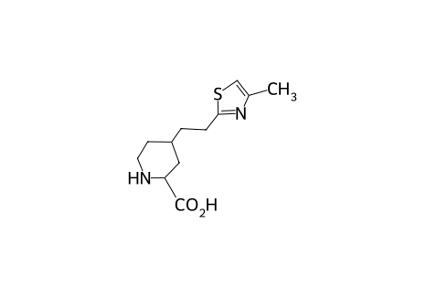 Cc1csc(CCC2CCNC(C(=O)O)C2)n1